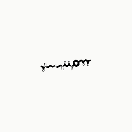 CC(=O)CC(=O)Cc1ccc(NC(=O)CC(=O)NCCOCCCNC(C)=O)cc1